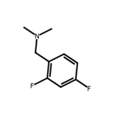 CN(C)Cc1ccc(F)cc1F